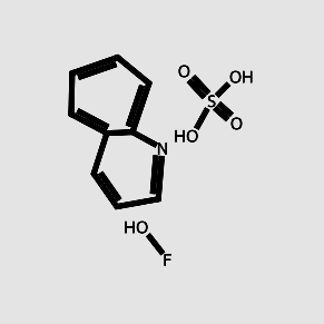 O=S(=O)(O)O.OF.c1ccc2ncccc2c1